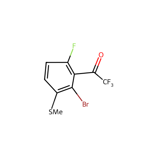 CSc1ccc(F)c(C(=O)C(F)(F)F)c1Br